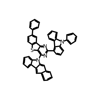 c1ccc(-c2ccc3sc4c(-n5c6ccccc6c6cc7ccccc7cc65)nc(-c5cccc6c5c5ccccc5n6-c5ccccc5)nc4c3c2)cc1